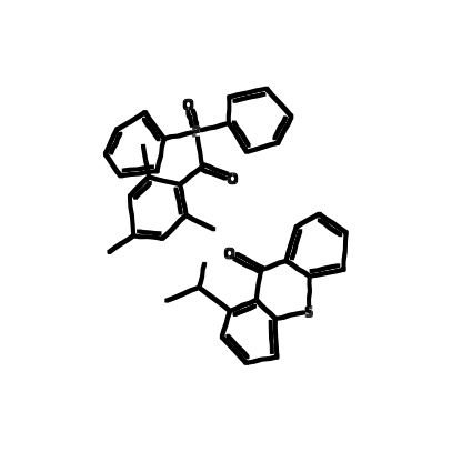 CC(C)c1cccc2sc3ccccc3c(=O)c12.Cc1cc(C)c(C(=O)P(=O)(c2ccccc2)c2ccccc2)c(C)c1